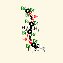 CC(C)(C)c1cc(Br)c(OCC(O)COc2c(Br)cc(C(C)(C)c3cc(Br)c(OCC(O)COc4c(Br)cc(Br)cc4Br)c(Br)c3)cc2Br)c(Br)c1